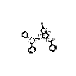 O=C1C[C@@H]2[C@@H](C=C[C@H](COc3ccccc3)OC(=O)c3ccccc3)[C@H](OC(=O)c3ccccc3)C[C@@H]2O1